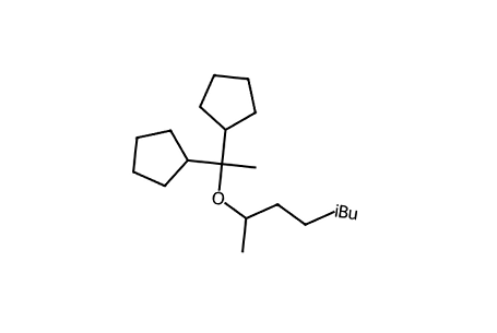 CCC(C)CCC(C)OC(C)(C1CCCC1)C1CCCC1